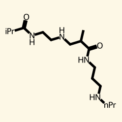 CCCNCCCNC(=O)C(C)CNCCNC(=O)C(C)C